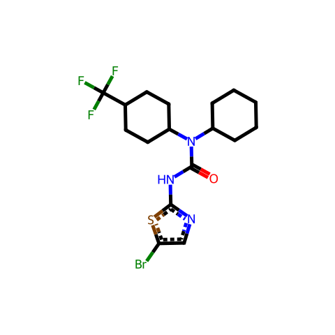 O=C(Nc1ncc(Br)s1)N(C1CCCCC1)C1CCC(C(F)(F)F)CC1